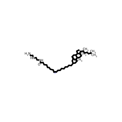 CC(C)CCC[C@@H](C)[C@H]1CCC2C3CC=C4CC(CCCCCCCC/C=C\CCCCCCCC(=O)NCCNCCN)CC[C@]4(C)C3CC[C@@]21C